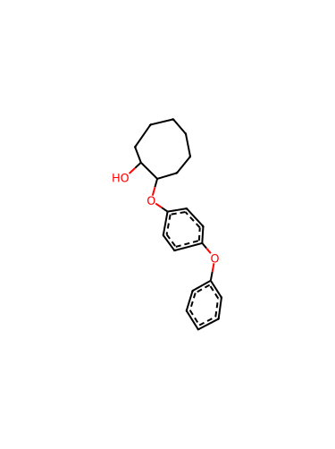 OC1CCCCCCC1Oc1ccc(Oc2ccccc2)cc1